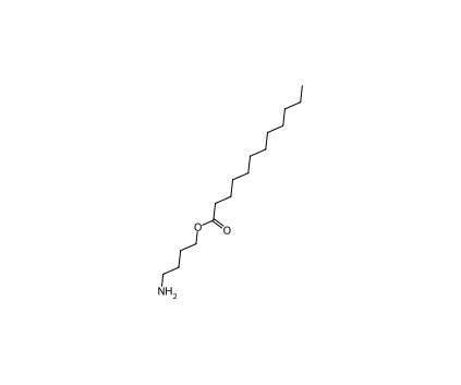 CCCCCCCCCCCC(=O)OCCCCN